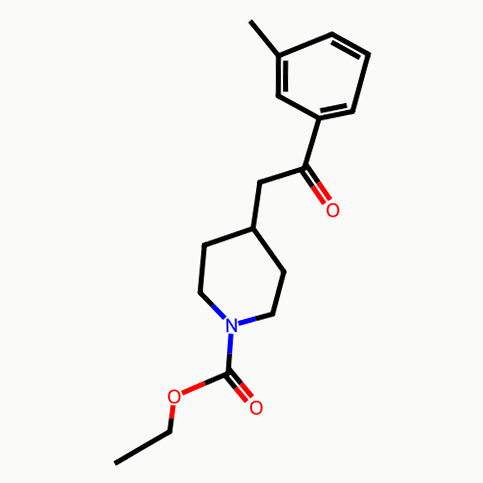 CCOC(=O)N1CCC(CC(=O)c2cccc(C)c2)CC1